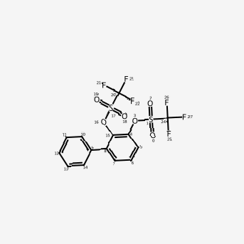 O=S(=O)(Oc1cccc(-c2ccccc2)c1OS(=O)(=O)C(F)(F)F)C(F)(F)F